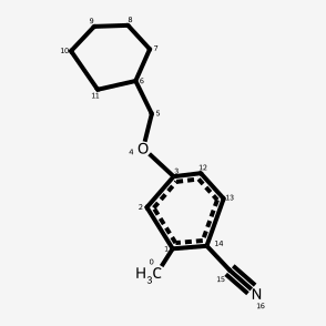 Cc1cc(OCC2CCCCC2)ccc1C#N